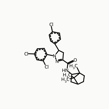 CC1(C)C2CCC1(C)C(NC(=O)C1=NN(c3ccc(Cl)cc3Cl)C(c3ccc(Cl)cc3)C1)C2